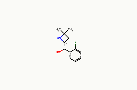 CC1(C)C[C@H](C(O)c2ccccc2F)N1